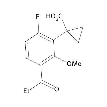 CCC(=O)c1ccc(F)c(C2(C(=O)O)CC2)c1OC